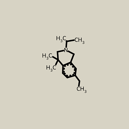 CCc1ccc2c(c1)CN(C(C)C)CC2(C)C